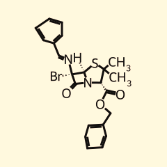 CC1(C)S[C@H]2N(C(=O)[C@@]2(Br)N=Cc2ccccc2)[C@H]1C(=O)OCc1ccccc1